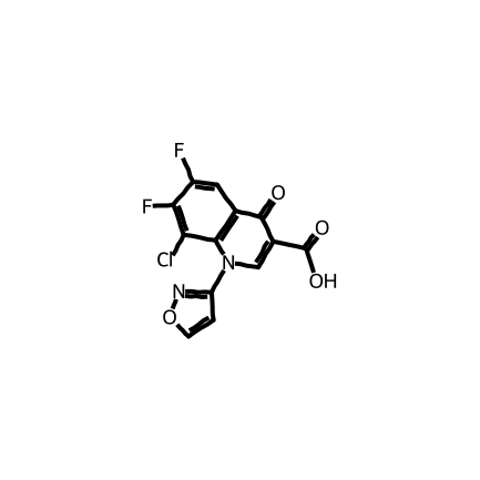 O=C(O)c1cn(-c2ccon2)c2c(Cl)c(F)c(F)cc2c1=O